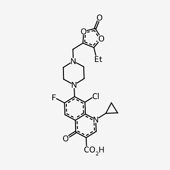 CCc1oc(=O)oc1CN1CCN(c2c(F)cc3c(=O)c(C(=O)O)cn(C4CC4)c3c2Cl)CC1